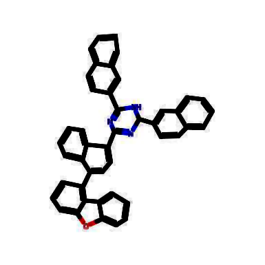 c1ccc2cc(C3=NC(c4ccc(-c5cccc6oc7ccccc7c56)c5ccccc45)=NC(c4ccc5ccccc5c4)N3)ccc2c1